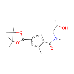 Cc1cc(B2OC(C)(C)C(C)(C)O2)ccc1C(=O)N(C)C[C@H](C)O